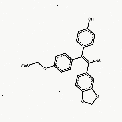 CC/C(=C(\c1ccc(O)cc1)c1ccc(OCOC)cc1)c1ccc2c(c1)OCO2